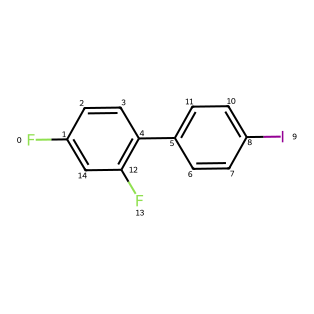 Fc1ccc(-c2ccc(I)cc2)c(F)c1